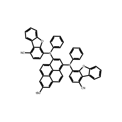 CC(C)(C)c1cc2ccc3c(N(c4ccccc4)c4ccc(C#N)c5c4oc4ccccc45)cc(N(c4ccccc4)c4ccc(C#N)c5c4oc4ccccc45)c4ccc(c1)c2c34